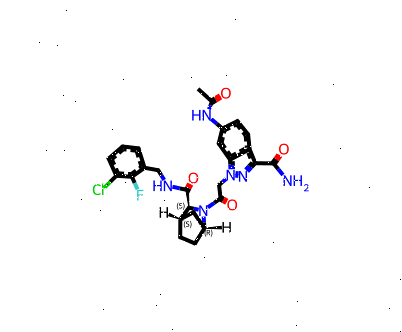 CC(=O)Nc1ccc2c(C(N)=O)nn(CC(=O)N3[C@@H]4CC[C@@H](C4)[C@H]3C(=O)NCc3cccc(Cl)c3F)c2c1